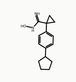 N=C(NO)C1(c2ccc(C3CCCC3)cc2)CC1